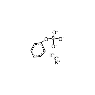 [K+].[K+].[K+].[O-][Si]([O-])([O-])Oc1ccccc1